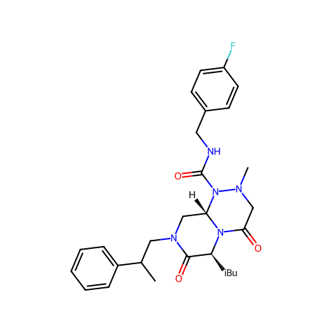 CCC(C)[C@H]1C(=O)N(CC(C)c2ccccc2)C[C@H]2N1C(=O)CN(C)N2C(=O)NCc1ccc(F)cc1